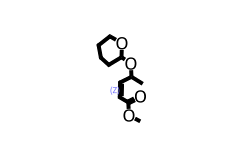 COC(=O)/C=C\C(C)OC1CCCCO1